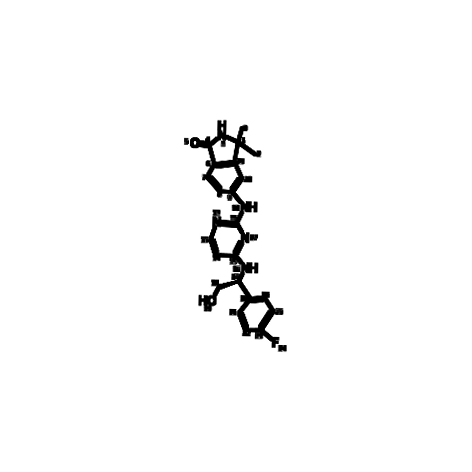 CC1(C)NC(=O)c2ccc(Nc3nccc(N[C@H](CO)c4ccc(F)cc4)n3)cc21